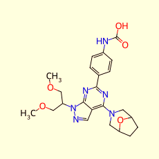 COCC(COC)n1ncc2c(N3CC4CCC(C3)O4)nc(-c3ccc(NC(=O)O)cc3)nc21